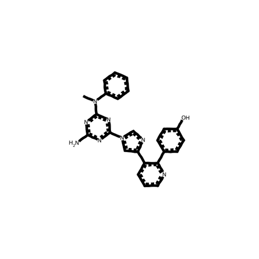 CN(c1ccccc1)c1nc(N)nc(-n2cnc(-c3cccnc3-c3ccc(O)cc3)c2)n1